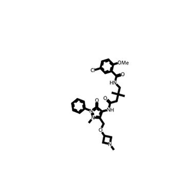 COc1ccc(Cl)cc1C(=O)NCC(C)(C)CC(=O)Nc1c(COC2CN(C)C2)n(C)n(-c2ccccc2)c1=O